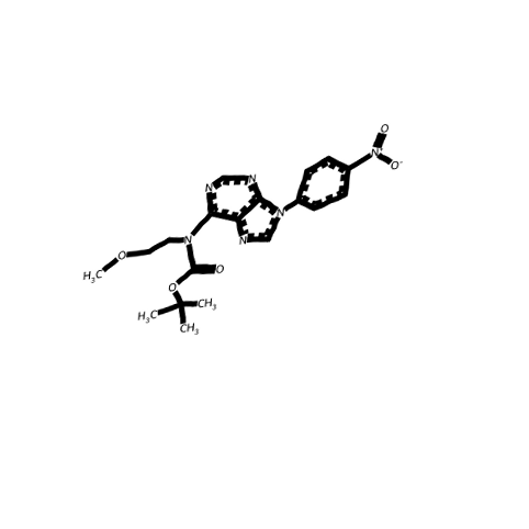 COCCN(C(=O)OC(C)(C)C)c1ncnc2c1ncn2-c1ccc([N+](=O)[O-])cc1